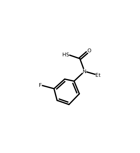 CCN(C(=O)S)c1cccc(F)c1